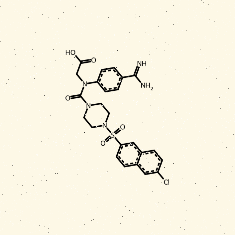 N=C(N)c1ccc(N(CC(=O)O)C(=O)N2CCN(S(=O)(=O)c3ccc4cc(Cl)ccc4c3)CC2)cc1